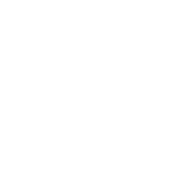 CCOC(CCCC(C)CC(C)CC(C)CC(C)CC(C)CC(C)CCCCl)OC(CCCC(C)CC(C)CC(C)CC(C)CC(C)CC(C)CCCCl)OCC